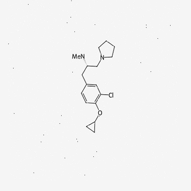 CN[C@@H](Cc1ccc(OC2CC2)c(Cl)c1)CN1CCCC1